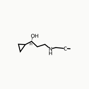 CCCNCC[C@@H](O)C1CC1